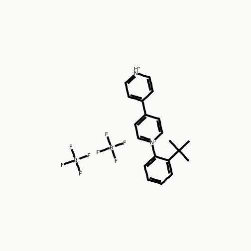 CC(C)(C)c1ccccc1-[n+]1ccc(-c2cc[nH+]cc2)cc1.F[B-](F)(F)F.F[B-](F)(F)F